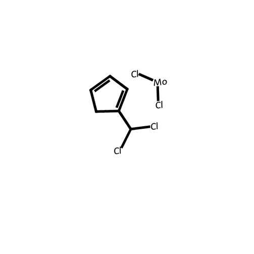 ClC(Cl)C1=CC=CC1.[Cl][Mo][Cl]